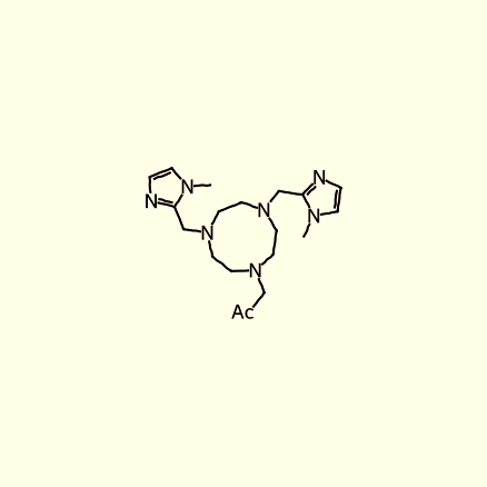 CC(=O)CN1CCN(Cc2nccn2C)CCN(Cc2nccn2C)CC1